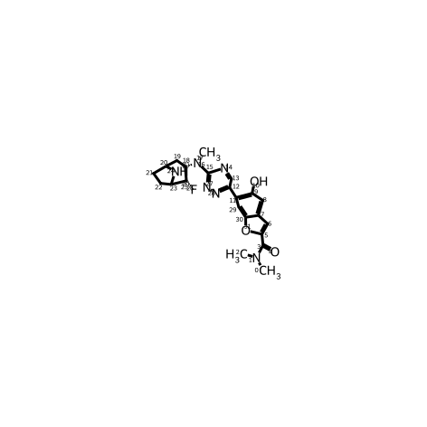 CN(C)C(=O)c1cc2cc(O)c(-c3cnc(N(C)[C@H]4CC5CCC(N5)[C@H]4F)nn3)cc2o1